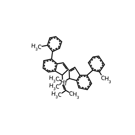 C[C](C)=[Hf]([CH3])([CH3])([CH]1C=Cc2c(-c3ccccc3C)cccc21)[CH]1C=Cc2c(-c3ccccc3C)cccc21